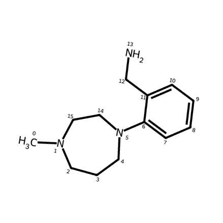 CN1CCCN(c2ccccc2CN)CC1